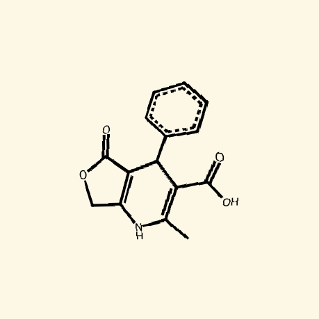 CC1=C(C(=O)O)C(c2ccccc2)C2=C(COC2=O)N1